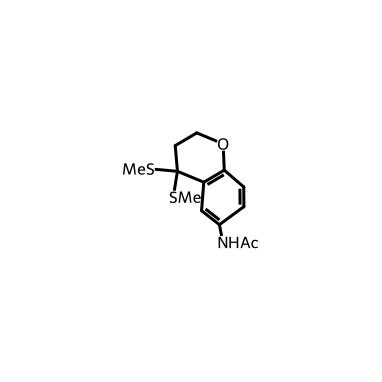 CSC1(SC)CCOc2ccc(NC(C)=O)cc21